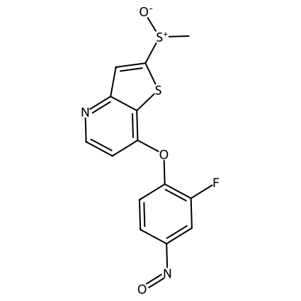 C[S+]([O-])c1cc2nccc(Oc3ccc(N=O)cc3F)c2s1